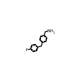 NCc1ccc(Cc2ccc(F)cc2)cc1